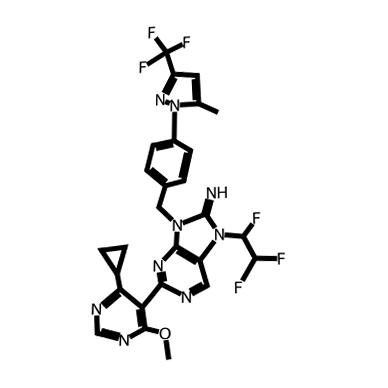 COc1ncnc(C2CC2)c1-c1ncc2c(n1)n(Cc1ccc(-n3nc(C(F)(F)F)cc3C)cc1)c(=N)n2C(F)C(F)F